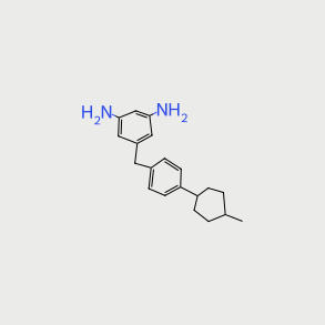 CC1CCC(c2ccc(Cc3cc(N)cc(N)c3)cc2)CC1